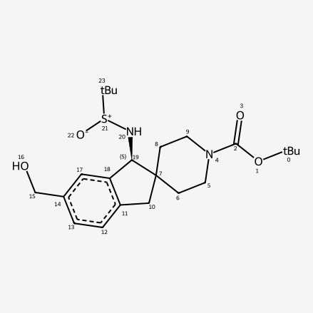 CC(C)(C)OC(=O)N1CCC2(CC1)Cc1ccc(CO)cc1[C@H]2N[S+]([O-])C(C)(C)C